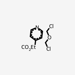 CCOC(=O)c1ccncc1.ClCOCCl